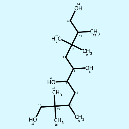 CC(CC(O)C(O)CC(C)(C)C(C)CO)C(C)(C)CO